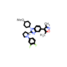 CO[C@H]1CC[C@H](n2c([C@@H]3CCCN3c3ccc(F)c(F)c3)nc3cc(-c4c(C)noc4C)ccc32)CC1